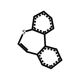 C1=Cc2ccccc2-c2ccccc2S1